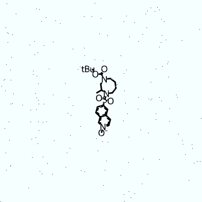 CC1CN(C(=O)OC(C)(C)C)CCCCN1S(=O)(=O)c1ccc2c[n+]([O-])ccc2c1